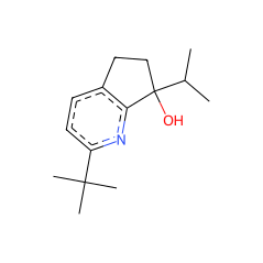 CC(C)C1(O)CCc2ccc(C(C)(C)C)nc21